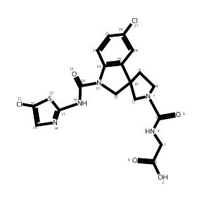 O=C(O)CNC(=O)N1CCC2(C1)CN(C(=O)Nc1ncc(Cl)s1)c1ccc(Cl)cc12